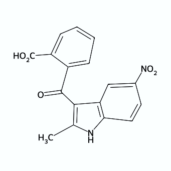 Cc1[nH]c2ccc([N+](=O)[O-])cc2c1C(=O)c1ccccc1C(=O)O